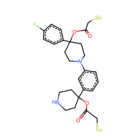 O=C(CS)OC1(c2cccc(N3CCC(OC(=O)CS)(c4ccc(F)cc4)CC3)c2)CCNCC1